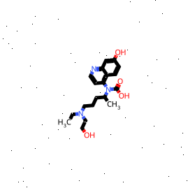 CCN(CCO)CCCC(C)N(C(=O)O)c1ccnc2cc(O)ccc12